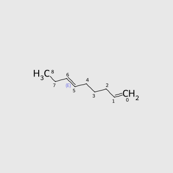 C=CCCC/C=C/CC